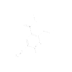 COCc1nc(O)c(C#N)cc1C(=O)OC